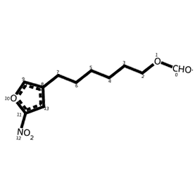 O=[C]OCCCCCCc1coc([N+](=O)[O-])c1